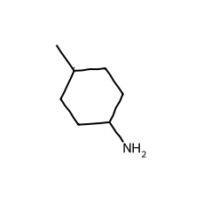 C[C]1CCC(N)CC1